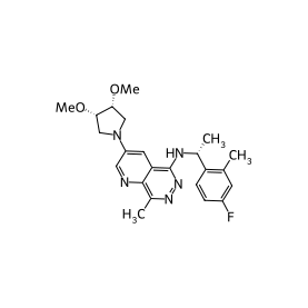 CO[C@H]1CN(c2cnc3c(C)nnc(N[C@H](C)c4ccc(F)cc4C)c3c2)C[C@H]1OC